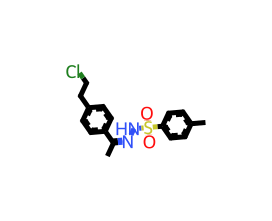 CC(=NNS(=O)(=O)c1ccc(C)cc1)c1ccc(CCCl)cc1